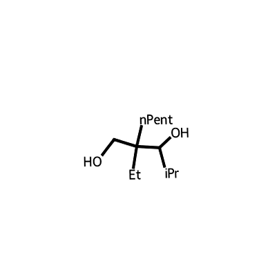 CCCCCC(CC)(CO)C(O)C(C)C